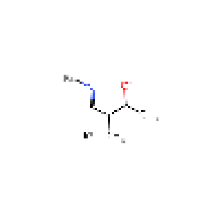 CC([O-])C(C)C=NC(C)(C)C.[K+]